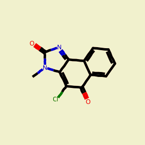 CN1C(=O)N=C2C1=C(Cl)C(=O)c1ccccc12